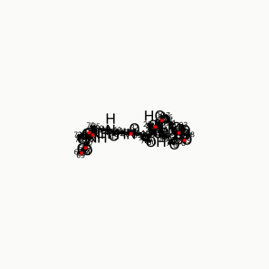 CCC1OC(OC(C)=O)C(NC(=O)CCc2ccc(O)c(CN(CCN(CC(C)=O)Cc3cc(CCC(=O)NCCCCCC(=O)NCCCC[C@H](NC(=O)N[C@@H](CCC(=O)OC(C)(C)C)C(=O)OC(C)(C)C)C(C)(C)C)ccc3O)CC(=O)OC(C)(C)C)c2)[C@H](OC(C)=O)[C@@H]1OC(C)=O